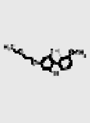 CCOCCOc1cc(C)c(-c2cccc(OC)c2)c(C)c1